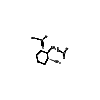 N[C@@H]1CCCC[C@H]1N.O=[N+]([O-])O.O=[N+]([O-])O